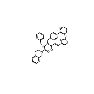 Cc1nc(C=CC(=O)N(Cc2ccc(-c3ncccn3)cc2)[C@@H](Cc2ccccc2)C(=O)N2CCc3ccccc3C2)cs1